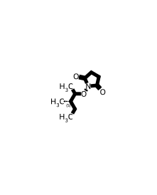 CC[C@H](C)C(C)ON1C(=O)CCC1=O